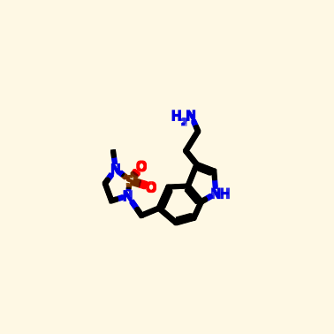 CN1CCN(Cc2ccc3[nH]cc(CCN)c3c2)S1(=O)=O